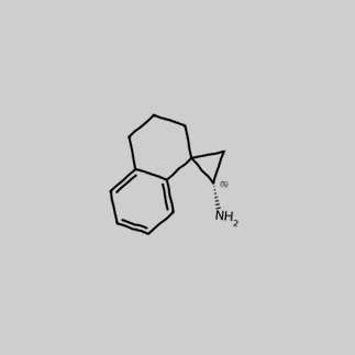 N[C@H]1CC12CCCc1ccccc12